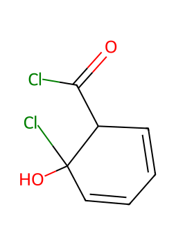 O=C(Cl)C1C=CC=CC1(O)Cl